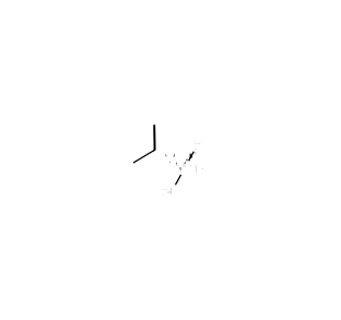 C[CH]C.[Br][Mg][Br].[MgH2]